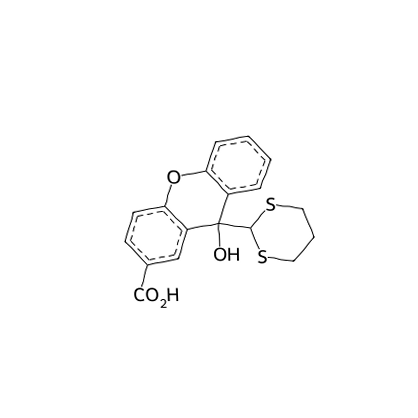 O=C(O)c1ccc2c(c1)C(O)(C1SCCCS1)c1ccccc1O2